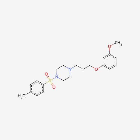 COc1cccc(OCCCN2CCN(S(=O)(=O)c3ccc(C)cc3)CC2)c1